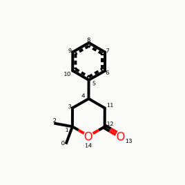 CC1(C)CC(c2ccccc2)CC(=O)O1